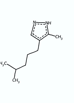 Cc1[nH]ncc1CCCC(C)C